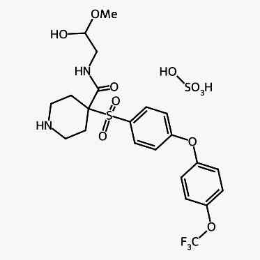 COC(O)CNC(=O)C1(S(=O)(=O)c2ccc(Oc3ccc(OC(F)(F)F)cc3)cc2)CCNCC1.O=S(=O)(O)O